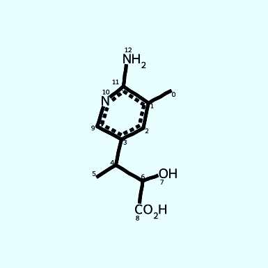 Cc1cc(C(C)C(O)C(=O)O)cnc1N